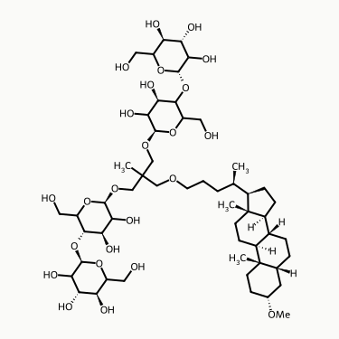 CO[C@@H]1CC[C@@]2(C)[C@H](CC[C@@H]3[C@@H]2CC[C@]2(C)[C@@H]([C@H](C)CCCOCC(C)(CO[C@@H]4OC(CO)C(O[C@@H]5OC(CO)[C@@H](O)[C@H](O)C5O)[C@H](O)C4O)CO[C@@H]4OC(CO)[C@@H](O[C@H]5OC(CO)[C@@H](O)[C@H](O)C5O)[C@H](O)C4O)CC[C@@H]32)C1